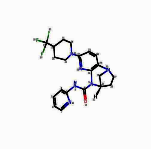 O=C(Nc1ccccn1)N1c2nc(N3CCC(C(F)(F)F)CC3)ccc2N2CC[C@H]1C2